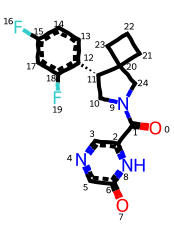 O=C(c1cncc(=O)[nH]1)N1C[C@H](c2ccc(F)cc2F)C2(CCC2)C1